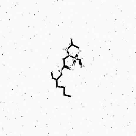 CCCCC(CC)COC(=O)CN(OC(C)C)S(=O)(=O)C=S